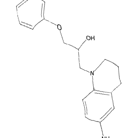 Nc1ccc2c(c1)CCCN2CC(O)COc1ccccc1